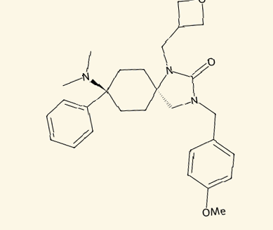 COc1ccc(CN2C[C@]3(CC[C@](c4ccccc4)(N(C)C)CC3)N(CC3COC3)C2=O)cc1